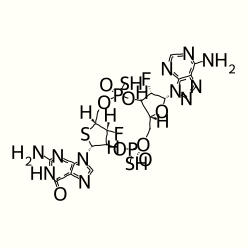 Nc1nc2c(ncn2[C@@H]2S[C@@H]3COP(=O)(S)O[C@H]4[C@H](F)[C@H](n5nnc6c(N)ncnc65)O[C@@H]4COP(=O)(S)O[C@@H]2[C@H]3F)c(=O)[nH]1